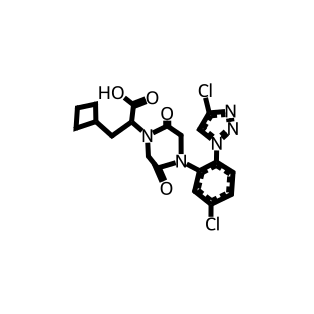 O=C(O)C(CC1CCC1)N1CC(=O)N(c2cc(Cl)ccc2-n2cc(Cl)nn2)CC1=O